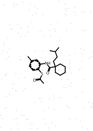 CC(=O)Sc1ccc(C)cc1NC(=O)C1(CCC(C)C)CCCCC1